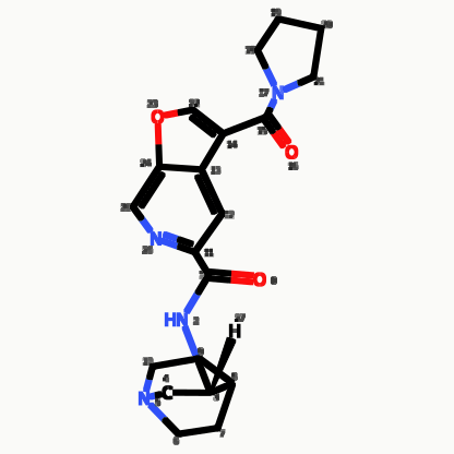 O=C(N[C@H]1CN2CCC1CC2)c1cc2c(C(=O)N3CCCC3)coc2cn1